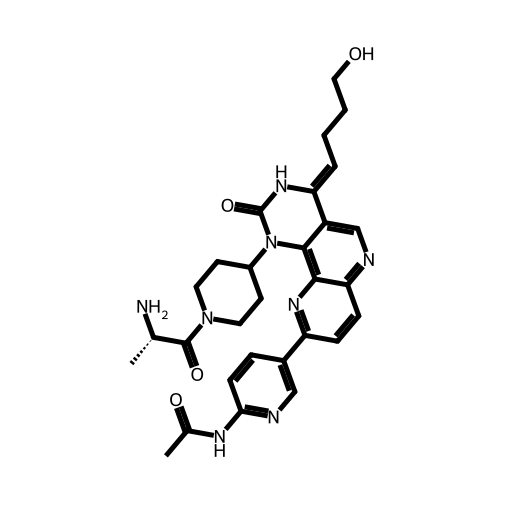 CC(=O)Nc1ccc(-c2ccc3ncc4c(c3n2)N(C2CCN(C(=O)[C@H](C)N)CC2)C(=O)N/C4=C\CCCO)cn1